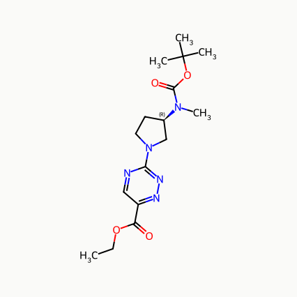 CCOC(=O)c1cnc(N2CC[C@@H](N(C)C(=O)OC(C)(C)C)C2)nn1